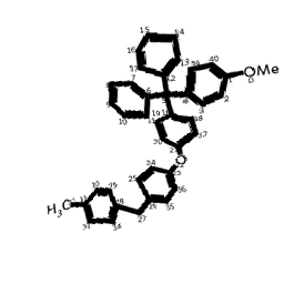 COc1ccc(C(c2ccccc2)(c2ccccc2)c2ccc(Oc3ccc(Cc4ccc(C)cc4)cc3)cc2)cc1